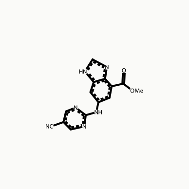 COC(=O)c1cc(Nc2ncc(C#N)cn2)cc2[nH]cnc12